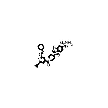 NS(=O)(=O)c1ccc(S(=O)(=O)C2CCN(C(=O)c3cc(OOC4CCCCC4)nc(C4CC4)c3)CC2)c(F)c1